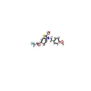 COc1ccc(C=Cn2c(=O)sc3cc(OCCF)ccc32)cc1